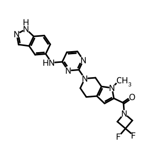 Cn1c(C(=O)N2CC(F)(F)C2)cc2c1CN(c1nccc(Nc3ccc4[nH]ncc4c3)n1)CC2